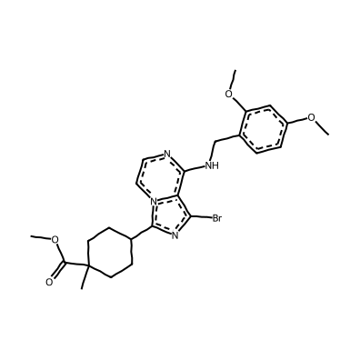 COC(=O)C1(C)CCC(c2nc(Br)c3c(NCc4ccc(OC)cc4OC)nccn23)CC1